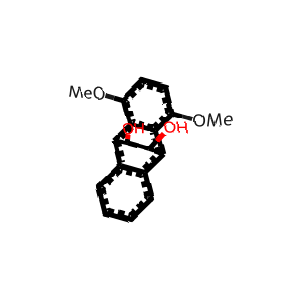 COc1ccc(OC)c2c3c4ccccc4c(c12)C(O)C3O